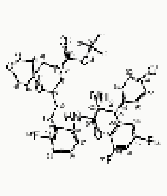 CC(C)(C)OC(=O)N1CC(CCc2c(F)cccc2NC(=O)[C@@H](N)[C@@H](c2ccc(Cl)cc2)c2cc(F)cc(F)c2)OC2(CCOCC2)C1